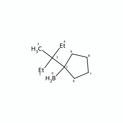 BC1(C(C)(CC)CC)CCCC1